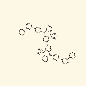 CC1(C)c2ccccc2N(c2ccc(-c3cccc(-c4ccccc4)c3)cc2)c2ccc(-c3ccc4c(c3)C(C)(C)c3ccccc3N4c3ccc(-c4cccc(-c5ccccc5)c4)cc3)cc21